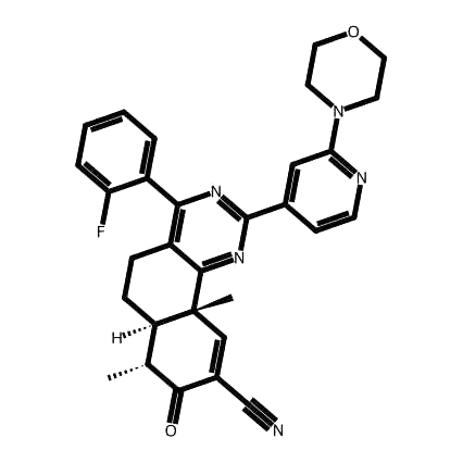 C[C@H]1C(=O)C(C#N)=C[C@@]2(C)c3nc(-c4ccnc(N5CCOCC5)c4)nc(-c4ccccc4F)c3CC[C@H]12